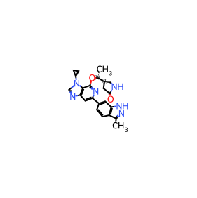 Cc1n[nH]c2cc(-c3cc4ncn(C5CC5)c4c(O[C@H](C)[C@H]4CNC(=O)C4)n3)ccc12